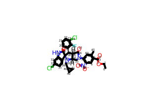 CCOC(=O)c1cc([N+](=O)[O-])c(N2C[C@H]3[C@@H](C2=O)[C@H](c2cccc(Cl)c2F)[C@]2(C(=O)Nc4cc(Cl)ccc42)N3CC2CC2)cc1C